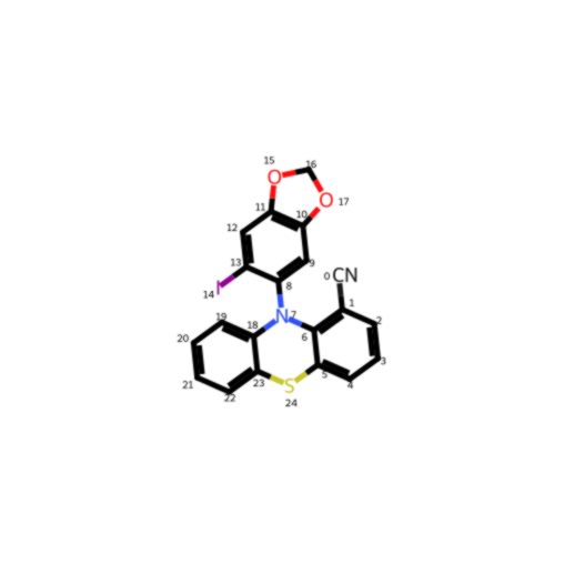 N#Cc1cccc2c1N(c1cc3c(cc1I)OCO3)c1ccccc1S2